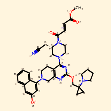 COC(=O)/C=C/C(=O)N1CCN(c2nc(OCC3(N4CCCC4)CC3)nc3c2CCN(c2cc(O)cc4ccccc24)C3)C[C@@H]1CC#N